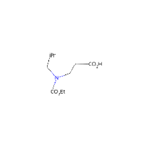 CCOC(=O)N(CCC(=O)O)CC(C)C